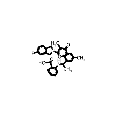 Cc1cc(C(C)Nc2ccccc2C(=O)O)c2oc(N3Cc4ccc(F)cc4C3)c(C)c(=O)c2c1